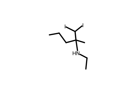 CCCC(C)(NCC)C(I)I